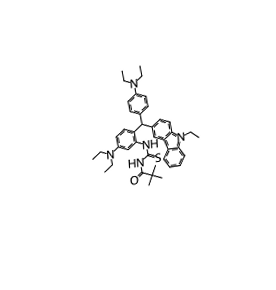 CCN(CC)c1ccc(C(c2ccc3c(c2)c2ccccc2n3CC)c2ccc(N(CC)CC)cc2NC(=S)NC(=O)C(C)(C)C)cc1